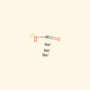 [Na+].[Na+].[Na+].[O]=[Al][OH].[S-2]